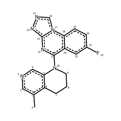 Cc1cncc2c1CCCN2c1nc2nncn2c2ccc(F)cc12